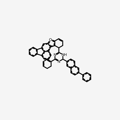 C1=CCCC(C2=NC(c3ccc4cc(-c5ccccc5)ccc4c3)NC(C3CC=Cc4oc5cc6c7c(cccc7c5c43)-c3ccccc3-6)=N2)=C1